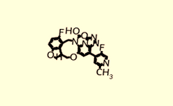 Cc1cc(-c2cc3c(n4cnnc24)N(C(=O)O)Cc2c(F)ccc4c2[C@@H](CO4)CO3)c(F)cn1